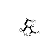 C=C(C(=O)C(/C=C\C(C)C)=C/C)C(C)C